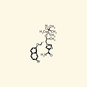 C[C@H](O[Si](C)(C)C(C)(C)C)[C@@H](CCOc1ccc2ccc(Br)cc2c1)n1cnc(C(N)=O)c1